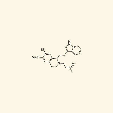 CCc1cc2c(cc1OC)CCN(CC[S+](C)[O-])C2CCc1c[nH]c2ccccc12